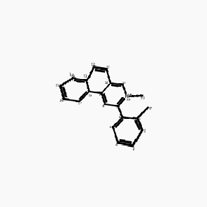 Cc1ccccc1-c1cc2c(ccc3ccccc32)c[n+]1C